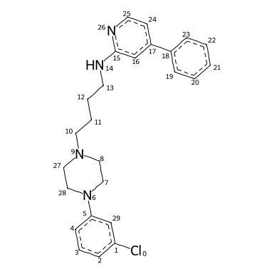 Clc1cccc(N2CCN(CCCCNc3cc(-c4ccccc4)ccn3)CC2)c1